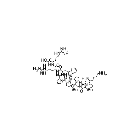 CC[C@H](C)[C@H](NC(=O)[C@@H](N)CCCCN)C(=O)N[C@H](C(=O)N1CCC[C@H]1C(=O)N1CCC[C@H]1C(=O)N1CCC[C@H]1C(=O)N[C@@H](Cc1c[nH]c2ccccc12)C(=O)N[C@@H](CCCNC(=N)N)C(=O)N[C@@H](CCCNC(=N)N)C(=O)O)[C@@H](C)CC